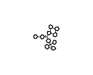 c1ccc(-c2ccc(N(c3ccc(C4(c5ccccc5)c5ccccc5-c5ccccc54)cc3)c3ccc4c(c3)-c3ccccc3-c3ccccc3-c3ccccc3-4)cc2)cc1